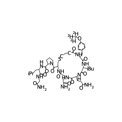 [2H]C([2H])([2H])Oc1ccc(CC2NC(=O)CCCSCC(C(=O)N3CCCC3C(=O)NC(CC(C)C)C(=O)NCC(N)=O)NC(=O)C(CC(N)=O)NC(=O)C(CCC(N)=O)NC(=O)C(C(C)CC)NC2=O)cc1